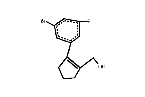 OCC1=C(c2cc(F)cc(Br)c2)CCC1